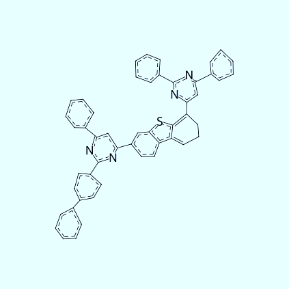 C1=c2c(sc3cc(-c4cc(-c5ccccc5)nc(-c5ccc(-c6ccccc6)cc5)n4)ccc23)=C(c2cc(-c3ccccc3)nc(-c3ccccc3)n2)CC1